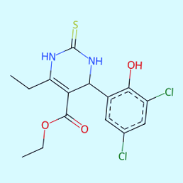 CCOC(=O)C1=C(CC)NC(=S)NC1c1cc(Cl)cc(Cl)c1O